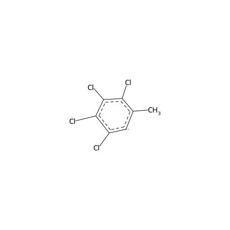 Cc1[c]c(Cl)c(Cl)c(Cl)c1Cl